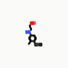 Cc1cc(NCCO)ccc1C=O